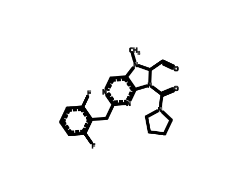 CN1c2cnc(Cc3c(F)cccc3F)nc2N(C(=O)N2CCCC2)C1C=O